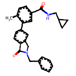 Cc1ccc(C(=O)NCC2CC2)cc1-c1ccc2c(c1)CN(Cc1ccccc1)C2=O